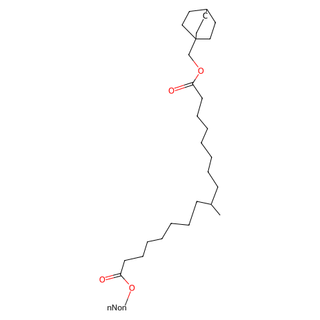 CCCCCCCCCOC(=O)CCCCCCCC(C)CCCCCCCC(=O)OCC12CCC(CC1)CC2